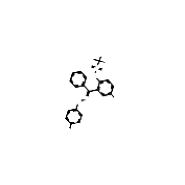 O=S(=O)(Nc1ccc(Cl)cc1C(=NOc1ccc(Cl)cc1)c1ccccc1)C(F)(F)F